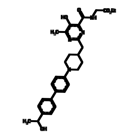 CCOC(=O)CNC(=O)c1nc(CC2CCN(c3ccc(-c4ccc(C(C)O)cc4)cc3)CC2)nc(C)c1O